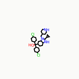 OC(C1CCC(Cl)CC1)(C1CCC(Cl)CC1)C1CCC2NC(C3CC3)N(CC3CCNCC3)C2C1